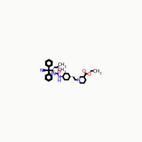 CCOC(=O)C1CCCN(CC[C@H]2CC[C@H](NC(=O)N[C@@H](CC(C)C)C(C#N)(c3ccccc3)c3ccccc3)CC2)C1